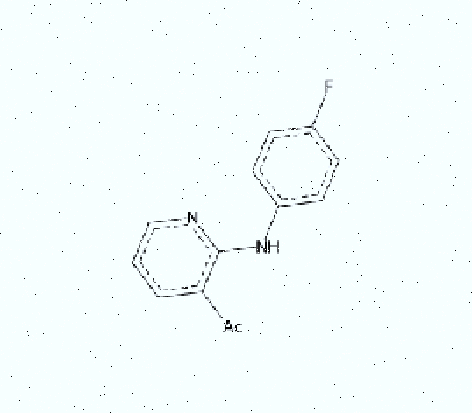 CC(=O)c1cccnc1Nc1ccc(F)cc1